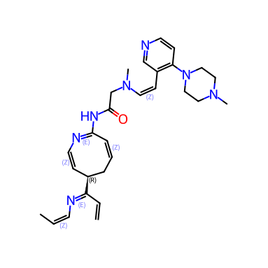 C=C/C(=N\C=C/C)[C@H]1\C=C/N=C(NC(=O)CN(C)/C=C\c2cnccc2N2CCN(C)CC2)\C=C/C1